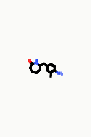 Cc1cc(CC2CCCCC(=O)N2)ccc1N